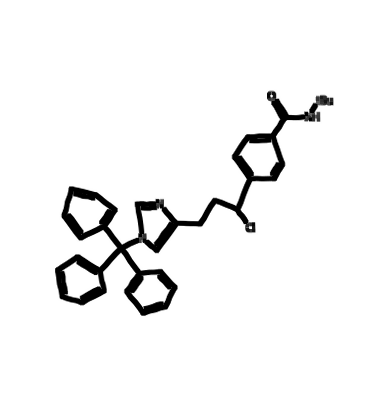 CC(C)(C)NC(=O)c1ccc(C(Cl)CCc2cn(C(c3ccccc3)(c3ccccc3)c3ccccc3)cn2)cc1